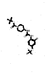 CC(C)(C)OC(=O)N1CCC(NC(=O)Nc2ccc(OC(F)(F)F)cc2Br)CC1